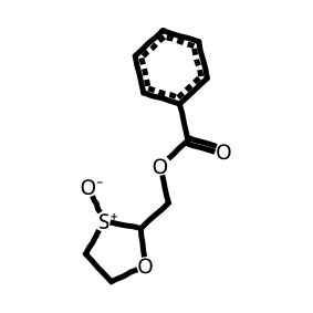 O=C(OCC1OCC[S+]1[O-])c1ccccc1